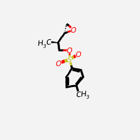 Cc1ccc(S(=O)(=O)OC[C@@H](C)[C@@H]2CO2)cc1